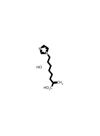 C=C(CCCCCCn1ccnc1)C(=O)O.Cl